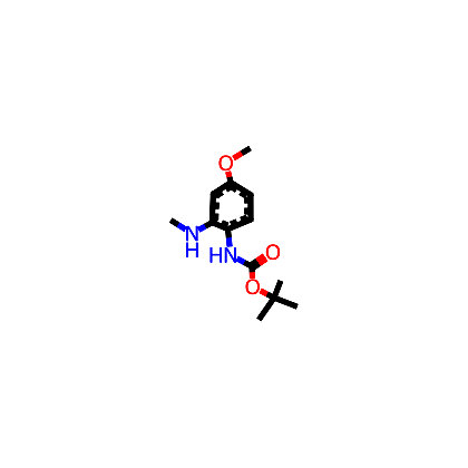 CNc1cc(OC)ccc1NC(=O)OC(C)(C)C